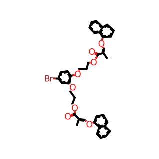 CC(=COc1cccc2ccccc12)C(=O)OCCCOc1ccc(Br)cc1OCCCOC(=O)C(C)=COc1cccc2ccccc12